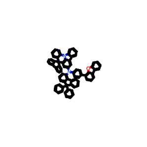 c1ccc(C2(c3ccccc3)c3ccccc3-c3c(N(c4ccc(-c5cccc6c5oc5ccccc56)cc4)c4cc5c6c(c4)c4ccccc4n6-c4ccccc4C54c5ccccc5-c5ccccc54)cccc32)cc1